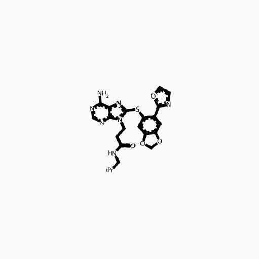 CC(C)CNC(=O)CCn1c(Sc2cc3c(cc2-c2ncco2)OCO3)nc2c(N)ncnc21